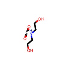 O=C=O.OCCNCCO